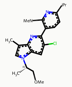 CNc1nc(C(C)C)ccc1-c1nc2c(C)cn([C@@H](C)COC)c2cc1Cl